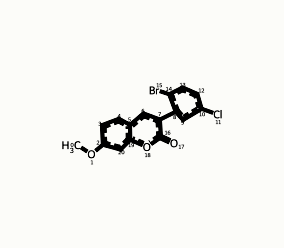 COc1ccc2cc(-c3cc(Cl)ccc3Br)c(=O)oc2c1